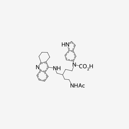 CC(=O)NCCC(CCN(C(=O)O)c1ccc2[nH]ccc2c1)CNc1c2c(nc3ccccc13)CCCC2